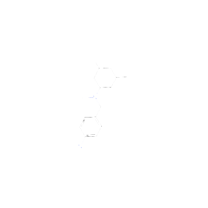 CC1CC(C)CC(N(C)Cc2ccc(N)cc2)C1